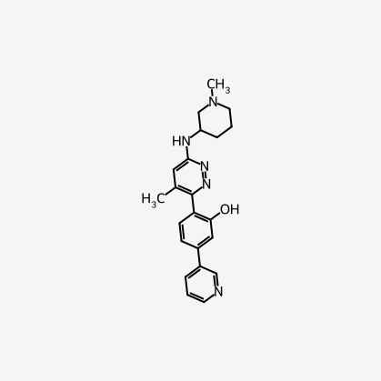 Cc1cc(NC2CCCN(C)C2)nnc1-c1ccc(-c2cccnc2)cc1O